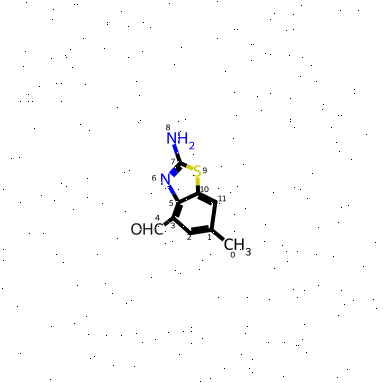 Cc1cc(C=O)c2nc(N)sc2c1